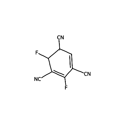 N#C[C]1C=C(C#N)C(F)=C(C#N)C1F